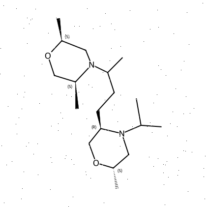 CC(C)N1C[C@H](C)OC[C@H]1CCC(C)N1C[C@H](C)OC[C@@H]1C